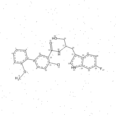 COc1ccccc1-c1ccc(Cl)c(C(=O)NC(CO)Cc2c[nH]c3cc(F)ccc23)c1